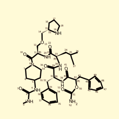 CNC(=O)NC1CCN(C(=O)[C@@H](COC[C@@H]2CCCN2)NC(=O)[C@@H](CC(C)C)NC(=O)[C@@H](Cc2ccccc2)NC(=O)[C@@H](Cc2ccccc2)OC(N)=O)CC1